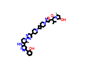 CC(C)C(C(=O)N1C[C@H](O)C[C@H]1C)c1cc(N2CCC3(CC2)CC(N2CCC(c4cnc(N5CCc6[nH]c7nnc(-c8ccccc8O)cc7c6[C@@H]5C)nc4)CC2)C3)no1